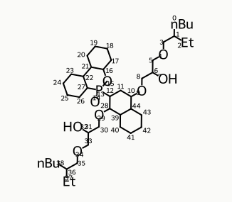 CCCCC(CC)COCC(O)COC1CC(P2(=O)OC3CCCCC3C3CCCCC32)C(OCC(O)COCC(CC)CCCC)C2CCCCC12